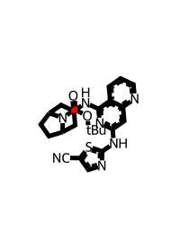 CC(C)(C)OC(=O)N1C2CCC1CC(Nc1nc(Nc3ncc(C#N)s3)cc3ncccc13)C2